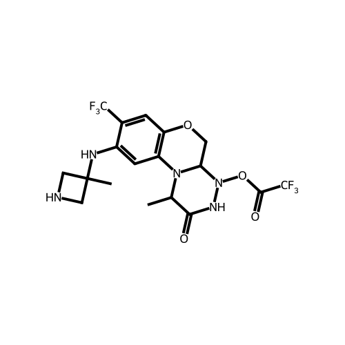 CC1C(=O)NN(OC(=O)C(F)(F)F)C2COc3cc(C(F)(F)F)c(NC4(C)CNC4)cc3N12